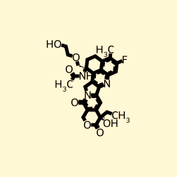 CC[C@@]1(O)C(=O)OCc2c1cc1n(c2=O)Cc2c-1nc1cc(F)c(C)c3c1c2[C@@](COCCO)(NC(C)=O)CC3